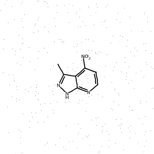 Cc1n[nH]c2nccc([N+](=O)[O-])c12